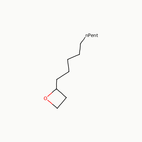 CCCCCCCCCC[C]1CCO1